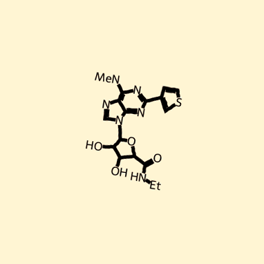 CCNC(=O)C1OC(n2cnc3c(NC)nc(-c4ccsc4)nc32)C(O)C1O